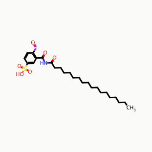 CCCCCCCCCCCCCCCCCC(=O)NC(=O)c1cc(S(=O)(=O)O)ccc1I=O